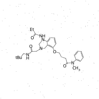 CCC(=O)NN1CN(CC(=O)NCC(C)(C)C)Cc2c(OCCCC(=O)N(C)c3ccccc3)cccc21